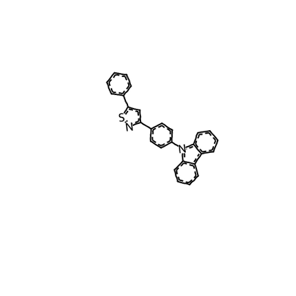 c1ccc(-c2cc(-c3ccc(-n4c5ccccc5c5ccccc54)cc3)ns2)cc1